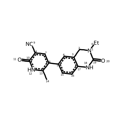 CCN1Cc2cc(-c3cc(C#N)c(=O)[nH]c3C)ccc2NC1=O